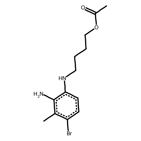 CC(=O)OCCCCNc1ccc(Br)c(C)c1N